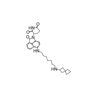 O=C1CCC(N2C(=O)c3cccc4c(NCCCCCCCNC5CC6(CCC6)C5)ccc2c34)C(=O)N1